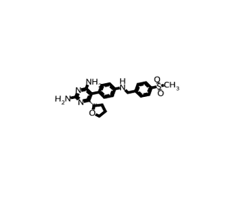 CS(=O)(=O)c1ccc(CNc2ccc(-c3c(N)nc(N)nc3[C@@H]3CCCO3)cc2)cc1